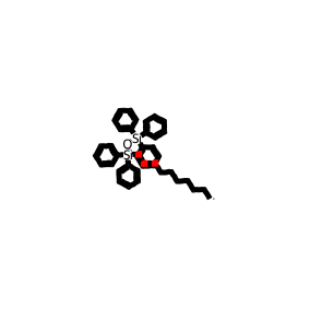 [CH2]CCCCCCCCC[Si](O[Si](c1ccccc1)(c1ccccc1)c1ccccc1)(c1ccccc1)c1ccccc1